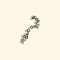 Cn1c(=O)n(C2CCC(=O)NC2=O)c2cccc(C3CN([C@@H]4CCN(C[C@H]5CC[C@H](n6cc(NC(=O)c7cnn8ccc(N9C[C@H]%10C[C@@H]9CO%10)nc78)c(C(F)F)n6)CC5)C[C@@H]4F)C3)c21